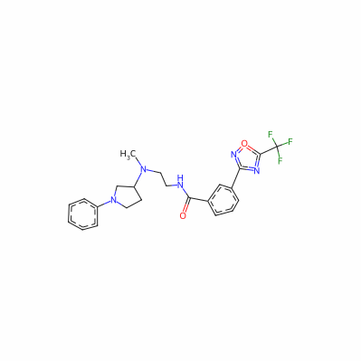 CN(CCNC(=O)c1cccc(-c2noc(C(F)(F)F)n2)c1)C1CCN(c2ccccc2)C1